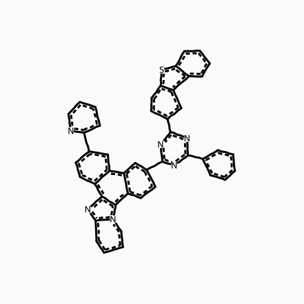 c1ccc(-c2nc(-c3ccc4sc5ccccc5c4c3)nc(-c3ccc4c(c3)c3cc(-c5ccccn5)ccc3c3nc5ccccn5c43)n2)cc1